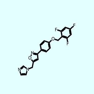 Fc1cc(F)c(COc2ccc(-c3cc(Cn4ccnc4)on3)cc2)c(F)c1